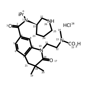 CC(C)N(C(=O)c1ccc2c(c1)N(CCN(C)C(=O)O)C(=O)C(C)(C)C2)[C@@H]1CCCNC1.Cl